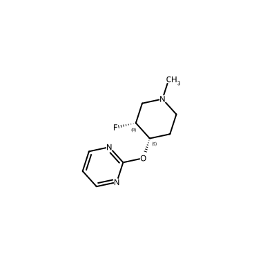 CN1CC[C@H](Oc2ncccn2)[C@H](F)C1